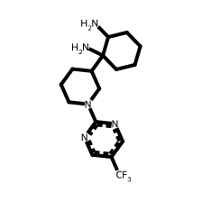 NC1CCCCC1(N)C1CCCN(c2ncc(C(F)(F)F)cn2)C1